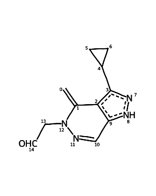 C=C1c2c(C3CC3)n[nH]c2C=NN1CC=O